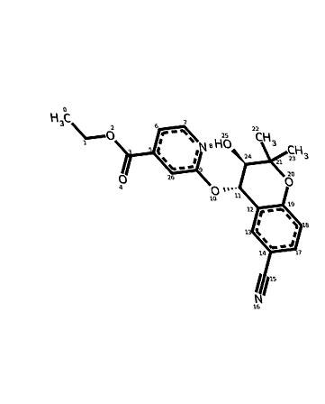 CCOC(=O)c1ccnc(O[C@H]2c3cc(C#N)ccc3OC(C)(C)[C@@H]2O)c1